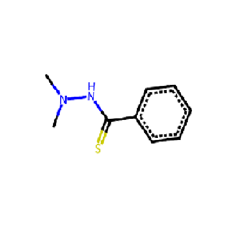 CN(C)NC(=S)c1ccccc1